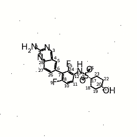 Nc1ncc2cc(-c3c(F)ccc(NS(=O)(=O)[C@H]4CC[C@@H](O)CC4)c3F)ccc2n1